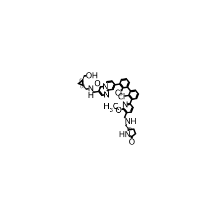 COc1nc(-c2cccc(-c3cccc(-c4ccn5c(=O)c(CNC[C@H]6C[C@H]6CO)cnc5c4)c3Cl)c2Cl)ccc1CNC[C@H]1CCC(=O)N1